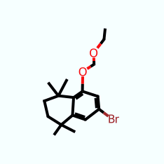 CCOCOc1cc(Br)cc2c1C(C)(C)CCC2(C)C